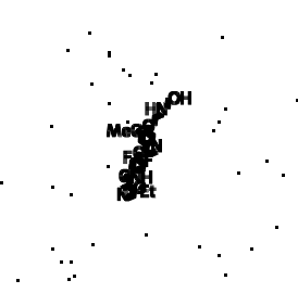 CCOc1ccncc1C(=O)Nc1cc(F)c(Oc2ccnc3cc(OCCCNCCO)c(OC)cc23)c(F)c1